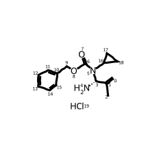 C=C(C)[C@H](N)N(C(=O)OCc1ccccc1)C1CC1.Cl